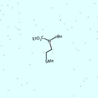 CCCCN(CCSC)C(=O)OCC